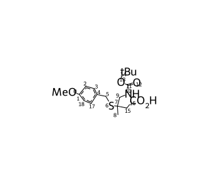 COc1ccc(CSC(C)(CNC(=O)OC(C)(C)C)CC(=O)O)cc1